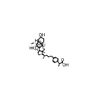 CC[C@H]1[C@@H](O)[C@@H]2[C@H](CC[C@]3(C)[C@@H]([C@H](C)CCCc4ccc(C(C)C(=O)O)cc4)CC[C@@H]23)[C@@]2(C)CC[C@@H](O)C[C@@H]12